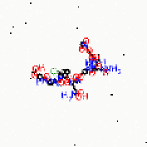 Cc1cccc2c(OC(=O)N(CCCC[C@H](N)C(=O)O)CCN(C)C(=O)OCc3ccc(NC(=O)[C@H](CCCNC(N)=O)NC(=O)[C@@H](NC(=O)OCCOCCN4C(=O)C=CC4=O)C(C)C)cc3)cc3c(c12)[C@H](CCl)CN3C(=O)c1cn2cc(NC(=O)c3ccc(OC(C)CO)cc3)ccc2n1